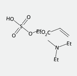 C=CC(=O)OCC.CCN(C)CC.COS(=O)(=O)O